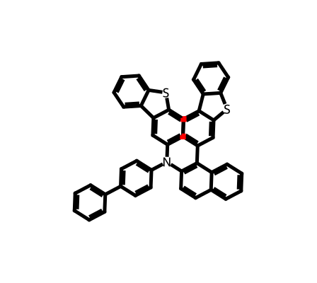 c1ccc(-c2ccc(N(c3ccc4sc5ccccc5c4c3)c3ccc4ccccc4c3-c3ccc4c(c3)sc3ccccc34)cc2)cc1